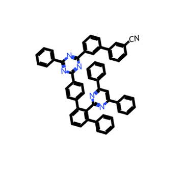 N#Cc1cccc(-c2cccc(-c3nc(-c4ccccc4)nc(-c4ccc(-c5cccc(-c6ccccc6)c5-c5nc(-c6ccccc6)cc(-c6ccccc6)n5)cc4)n3)c2)c1